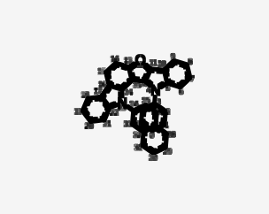 c1ccc(-n2c3ccccc3c3oc4ccc5c6ccccc6n(-c6ccc7ccccc7c6)c5c4c32)cc1